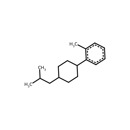 Cc1ccccc1C1CCC(CC(C)C)CC1